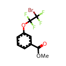 COC(=O)c1cccc(OC(F)(F)C(F)(F)Br)c1